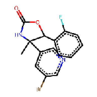 CC1(c2cncc(Br)c2)NC(=O)OC1c1ccccc1F